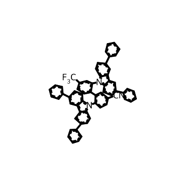 N#Cc1ccc(-n2c3ccc(-c4ccccc4)cc3c3cc(-c4ccccc4)ccc32)c(-c2ccc(C(F)(F)F)cc2-n2c3ccc(-c4ccccc4)cc3c3cc(-c4ccccc4)ccc32)c1